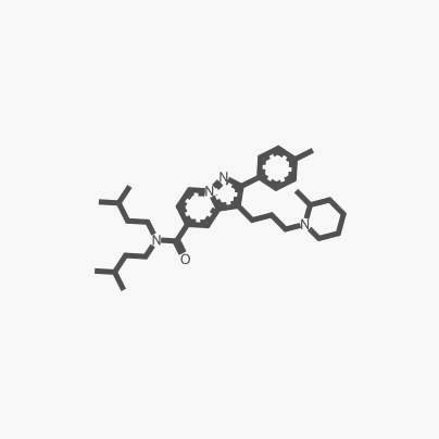 Cc1ccc(-c2nn3ccc(C(=O)N(CCC(C)C)CCC(C)C)cc3c2CCCN2CCCCC2C)cc1